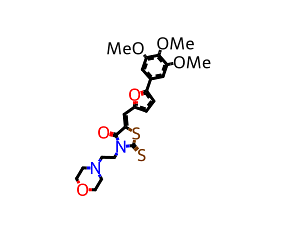 COc1cc(-c2ccc(/C=C3\SC(=S)N(CCN4CCOCC4)C3=O)o2)cc(OC)c1OC